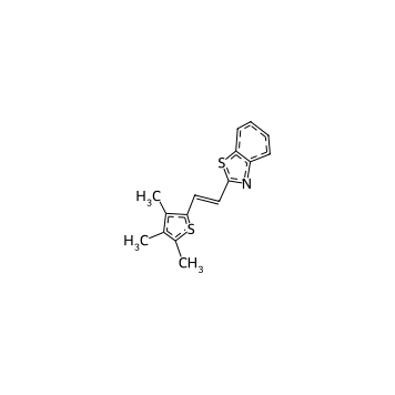 Cc1sc(/C=C/c2nc3ccccc3s2)c(C)c1C